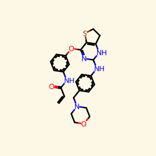 C=CC(=O)Nc1cccc(OC2=NC(Nc3ccc(CN4CCOCC4)cc3)NC3=C2SCC3)c1